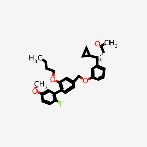 CCCCOc1cc(COc2cccc([C@@H](CC(C)=O)C3CC3)c2)ccc1-c1cc(OC)ccc1F